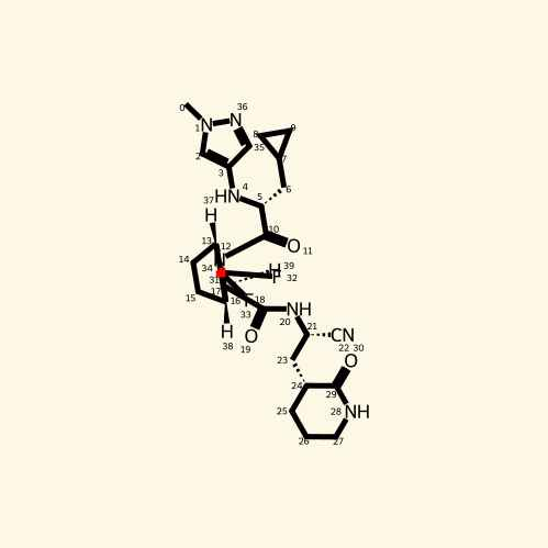 Cn1cc(N[C@H](CC2CC2)C(=O)N2[C@H]3CC[C@@H]([C@@H]2C(=O)N[C@H](C#N)C[C@H]2CCCNC2=O)C(F)(F)C3)cn1